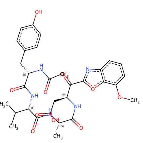 COc1cccc2nc(C(=O)[C@H](CC(=O)O)NC(=O)[C@H](C)NC(=O)[C@@H](NC(=O)[C@H](Cc3ccc(O)cc3)NC(C)=O)C(C)C)oc12